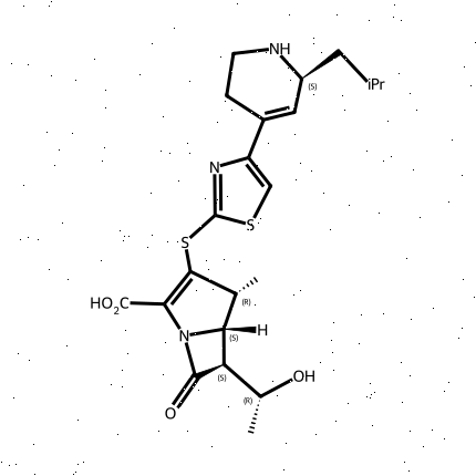 CC(C)C[C@H]1C=C(c2csc(SC3=C(C(=O)O)N4C(=O)[C@H]([C@@H](C)O)[C@H]4[C@H]3C)n2)CCN1